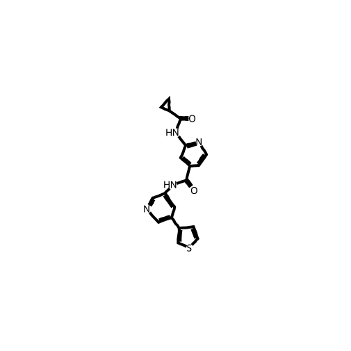 O=C(Nc1cncc(-c2ccsc2)c1)c1ccnc(NC(=O)C2CC2)c1